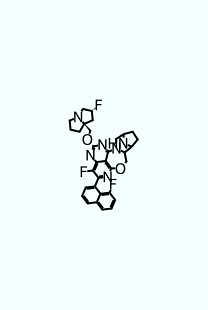 Fc1c(-c2cccc3cccc(F)c23)nc2c3c(nc(OC[C@@]45CCCN4C[C@H](F)C5)nc13)N1CC3CCC(N3)C1CO2